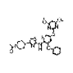 COc1cc(OC)nc(Sc2cnc(Nc3nc(C4CCN(C(C)=O)CC4)cs3)c(Oc3ccccc3)c2)n1